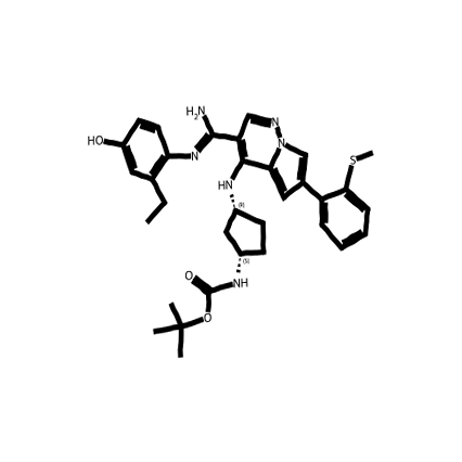 CCc1cc(O)ccc1N=C(N)c1cnn2cc(-c3ccccc3SC)cc2c1N[C@@H]1CC[C@H](NC(=O)OC(C)(C)C)C1